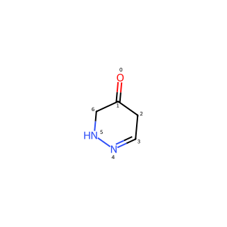 O=C1CC=NNC1